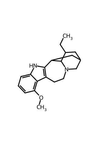 CCC1CC2CC3c4[nH]c5cccc(OC)c5c4CCN(C2)C13